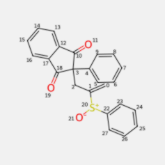 C=C(CC1(c2ccccc2)C(=O)c2ccccc2C1=O)[S+]([O-])c1ccccc1